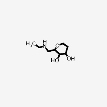 CCNCC1OCCC(O)C1O